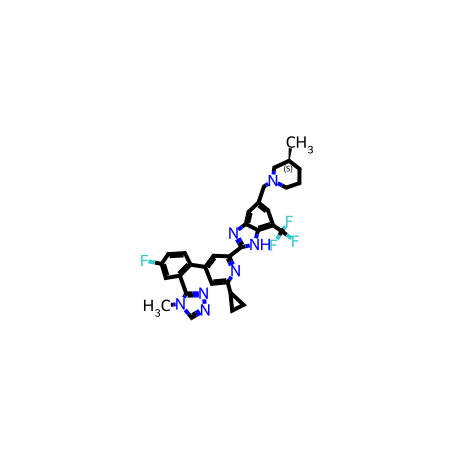 C[C@H]1CCCN(Cc2cc(C(F)(F)F)c3[nH]c(-c4cc(-c5ccc(F)cc5-c5nncn5C)cc(C5CC5)n4)nc3c2)C1